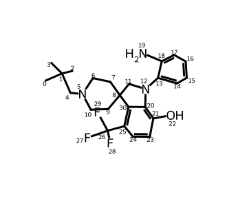 CC(C)(C)CN1CCC2(CC1)CN(c1ccccc1N)c1c(O)ccc(C(F)(F)F)c12